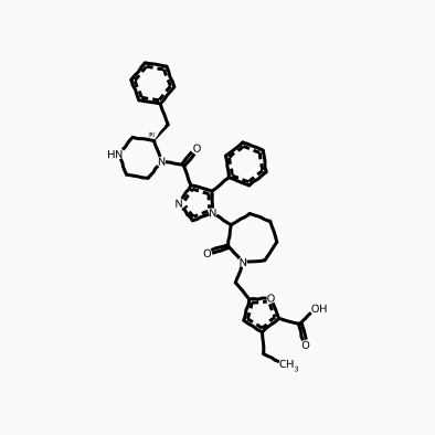 CCc1cc(CN2CCCCC(n3cnc(C(=O)N4CCNC[C@H]4Cc4ccccc4)c3-c3ccccc3)C2=O)oc1C(=O)O